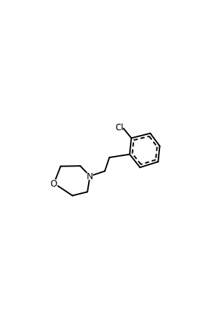 Clc1ccccc1CCN1CCOCC1